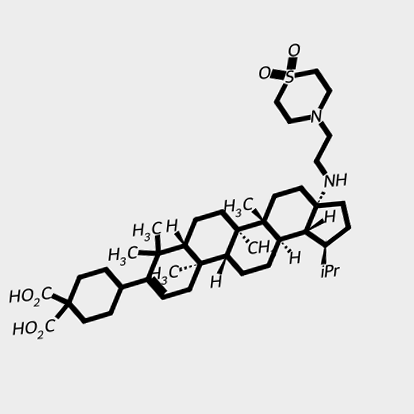 CC(C)[C@@H]1CC[C@]2(NCCN3CCS(=O)(=O)CC3)CC[C@]3(C)[C@H](CC[C@@H]4[C@@]5(C)CC=C(C6CCC(C(=O)O)(C(=O)O)CC6)C(C)(C)[C@@H]5CC[C@]43C)[C@@H]12